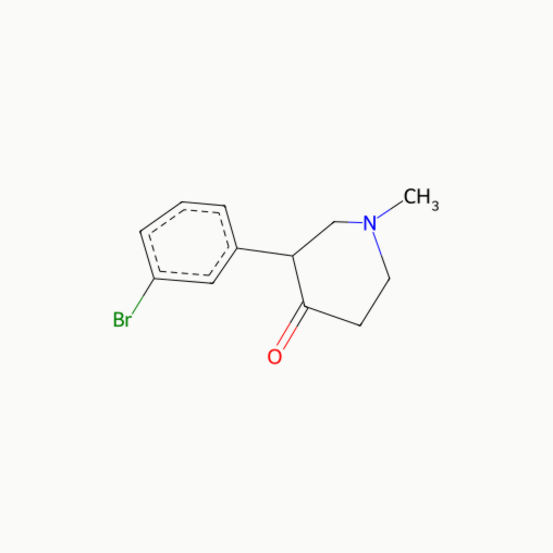 CN1CCC(=O)C(c2cccc(Br)c2)C1